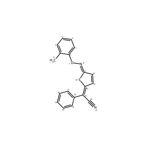 Cc1ccccc1ON=C1C=CC(=C(C#N)c2ccccc2)S1